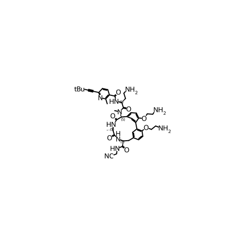 Cc1nc(C#CC(C)(C)C)ccc1C(=O)N[C@@H](CCN)C(=O)N(C)[C@@H]1C(=O)N[C@@H](C)C(=O)N[C@H](C(=O)NCC#N)Cc2ccc(OCCN)c(c2)-c2cc1ccc2OCCN